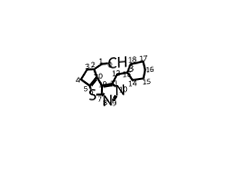 CCC1CCc2sc3ncnc(CC4CCCCC4)c3c21